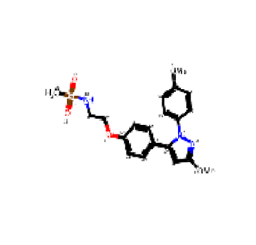 COc1ccc(-n2nc(OC)cc2-c2ccc(OCCNS(C)(=O)=O)cc2)cc1